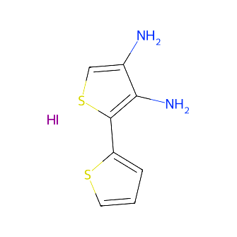 I.Nc1csc(-c2cccs2)c1N